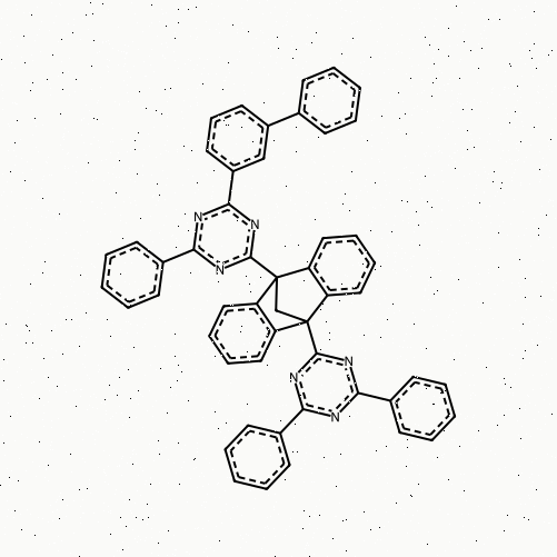 c1ccc(-c2cccc(-c3nc(-c4ccccc4)nc(C45CC(c6nc(-c7ccccc7)nc(-c7ccccc7)n6)(c6ccccc64)c4ccccc45)n3)c2)cc1